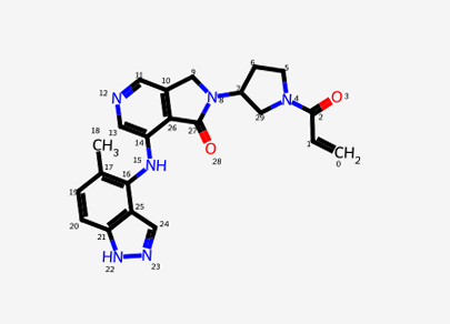 C=CC(=O)N1CCC(N2Cc3cncc(Nc4c(C)ccc5[nH]ncc45)c3C2=O)C1